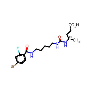 C[C@H](CCC(=O)O)NC(=O)NCCCCCNC(=O)c1ccc(Br)cc1F